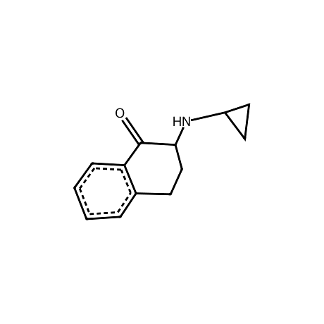 O=C1c2ccccc2CCC1NC1CC1